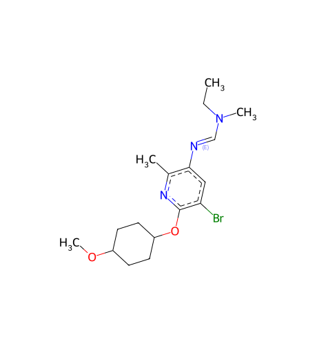 CCN(C)/C=N/c1cc(Br)c(OC2CCC(OC)CC2)nc1C